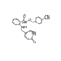 N#Cc1ccc(CONC(=O)c2ccccc2NCc2ccc(=O)[nH]c2)cc1